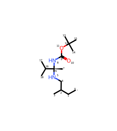 [CH2]CC(C)CN[C@@](C)(NC(=O)OC(C)(C)C)C(C)C